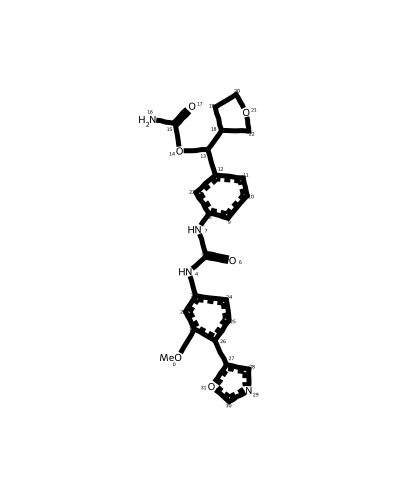 COc1cc(NC(=O)Nc2cccc(C(OC(N)=O)C3CCOC3)c2)ccc1-c1cnco1